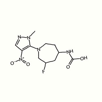 Cn1ncc([N+](=O)[O-])c1N1CCC(NC(=O)O)CC(F)C1